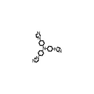 c1cn(-c2ccc(N(c3ccc(-n4ccnc4)cc3)c3ccc(-n4ccnc4)cc3)cc2)cn1